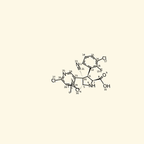 CC(C)(C)C[C@H]1N[C@H](C(=O)O)[C@H](c2cccc(Cl)c2F)[C@]1(C#N)c1cnc(Cl)cc1Cl